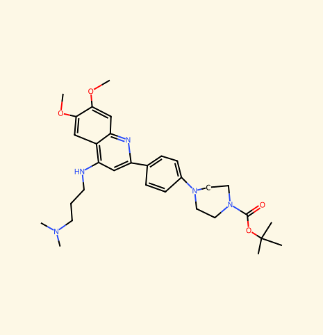 COc1cc2nc(-c3ccc(N4CCN(C(=O)OC(C)(C)C)CC4)cc3)cc(NCCCN(C)C)c2cc1OC